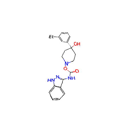 CCc1cccc(C2(O)CCN(OC(=O)Nc3n[nH]c4ccccc34)CC2)c1